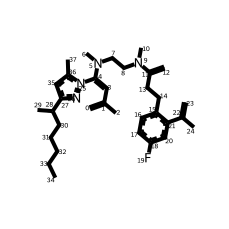 C=C(C)/C=C(/N(C)CCN(C)C(=C)CCc1ccc(F)cc1C(=C)C)n1nc(C(C)CCCCC)cc1C